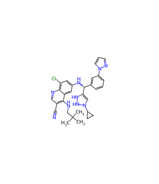 CC(C)(C)CNc1c(C#N)cnc2c(Cl)cc(N[C@H](C3=CN(C4CC4)NN3)c3cccc(-n4cccn4)c3)cc12